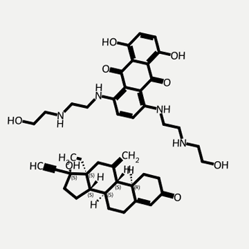 C#C[C@]1(O)CC[C@H]2[C@@H]3CCC4=CC(=O)CC[C@@H]4[C@H]3C(=C)C[C@@]21CC.O=C1c2c(O)ccc(O)c2C(=O)c2c(NCCNCCO)ccc(NCCNCCO)c21